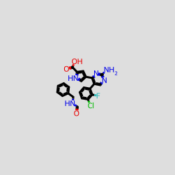 Nc1ncc(-c2cccc(Cl)c2F)c(-c2c[nH]c(C(=O)O)c2)n1.O=CNCc1ccccc1